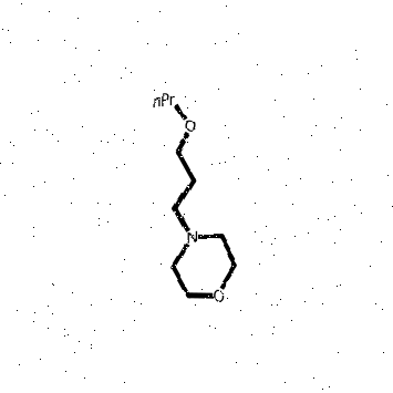 CCCOCCCN1CCOCC1